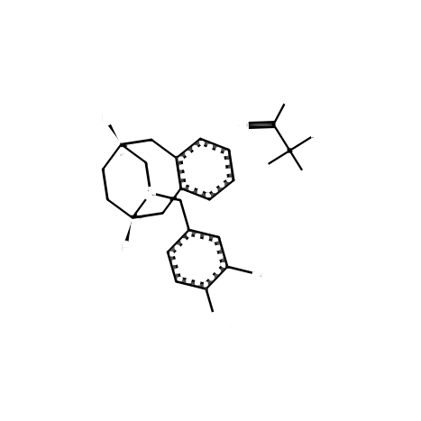 O=C(O)C(F)(F)F.O=C(O)c1ccc(CN2C[C@@H]3CC[C@H]2Cc2ccccc2C3)cc1Br